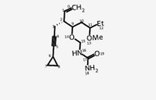 C=C[C@@H](CC#CC1CC1)C(CC(CC)OC)OCNC(N)=O